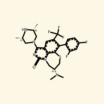 C[C@@H]1CN(c2nc(=O)n3c4c(c(-c5ccc(F)cc5F)c(C(F)(F)F)cc24)SC[C@H](N(C)C)C3)C[C@H](C)N1